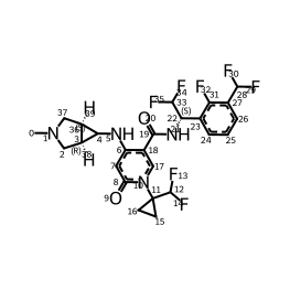 CN1C[C@@H]2C(Nc3cc(=O)n(C4(C(F)F)CC4)cc3C(=O)N[C@@H](c3cccc(C(F)F)c3F)C(F)F)[C@@H]2C1